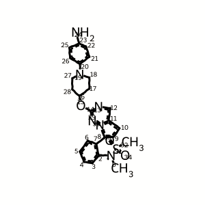 CN(c1ccccc1-c1ccc2cnc(OC3CCN(c4ccc(N)cc4)CC3)nn12)S(C)(=O)=O